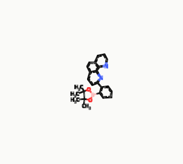 CC1(C)OB(c2ccccc2-c2ccc3ccc4cccnc4c3n2)OC1(C)C